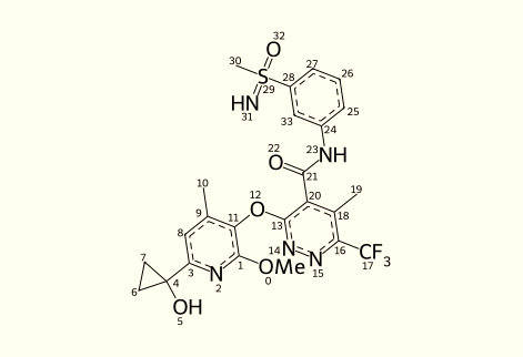 COc1nc(C2(O)CC2)cc(C)c1Oc1nnc(C(F)(F)F)c(C)c1C(=O)Nc1cccc(S(C)(=N)=O)c1